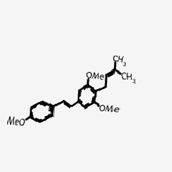 COc1ccc(/C=C/c2cc(OC)c(CC=C(C)C)c(OC)c2)cc1